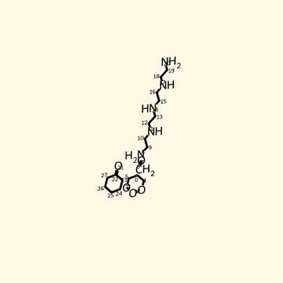 C1COOOC1.C=O.NCCNCCNCCNCCN.O=C1CCCCC1